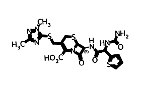 Cc1nc(SCC2=C(C(=O)O)N3C(=O)[C@@H](NC(=O)C(NC(N)=O)c4cccs4)C3SC2)n(C)n1